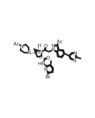 CC(=O)c1nn(CC(=O)N2[C@H](C(=O)Nc3nc(Br)ccc3C)C[C@@]3(CN4CCN(C(C)=O)CC4)C[C@@H]23)c2ccc(-c3cnc(C)nc3)cc12